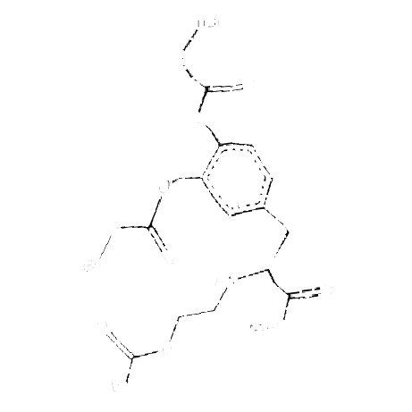 CCCCOC(=O)Oc1ccc(C[C@H](NCCOC(=O)C(C)(C)C)C(=O)OC)cc1OC(=O)OCCCC